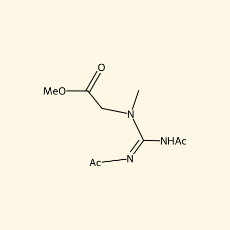 COC(=O)CN(C)/C(=N\C(C)=O)NC(C)=O